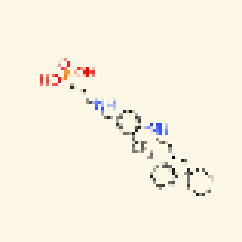 O=P(O)(O)CCCNCc1ccc(NCCCCC2(c3ccccc3)CCCCC2)c(C(F)(F)F)c1